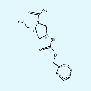 O=C(N[C@@H]1C[C@H](CO)N(C(=O)O)C1)OCc1ccccc1